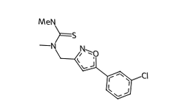 CNC(=S)N(C)Cc1cc(-c2cccc(Cl)c2)on1